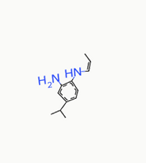 C/C=C\Nc1ccc(C(C)C)cc1N